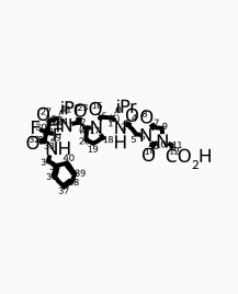 CC(C)[C@H](NC(=O)CN1C(=O)CN(CC(=O)O)C1=O)C(=O)N1CCC[C@H]1C(=O)N[C@H](C(=O)C(F)(F)C(=O)NCc1ccccc1)C(C)C